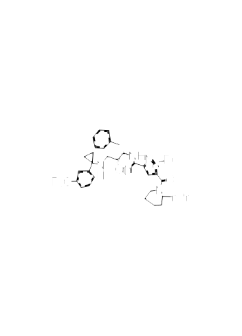 CCCC1CCCCN1C(=O)c1cc(C(=O)N[C@@H](Cc2ccccc2)[C@H](O)CNC2(c3cccc(C(F)(F)F)c3)CC2)nn1CC